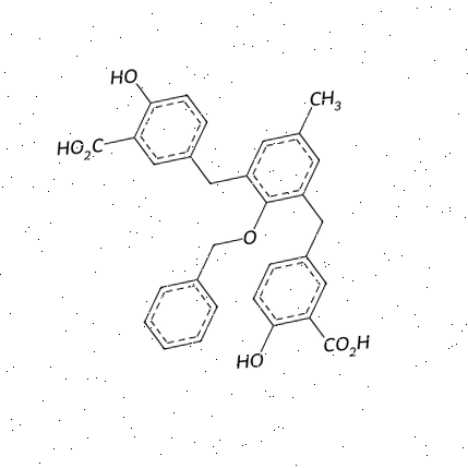 Cc1cc(Cc2ccc(O)c(C(=O)O)c2)c(OCc2ccccc2)c(Cc2ccc(O)c(C(=O)O)c2)c1